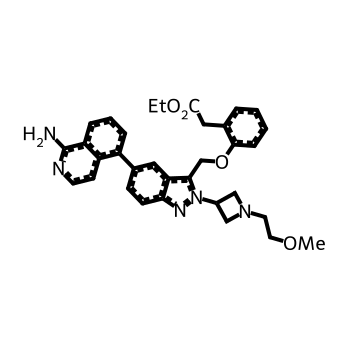 CCOC(=O)Cc1ccccc1OCc1c2cc(-c3cccc4c(N)nccc34)ccc2nn1C1CN(CCOC)C1